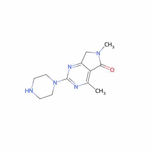 Cc1nc(N2CCNCC2)nc2c1C(=O)N(C)C2